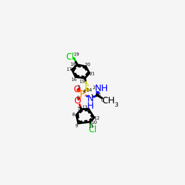 CC(=N)NP(=O)(Oc1ccc(Cl)cc1)Sc1ccc(Cl)cc1